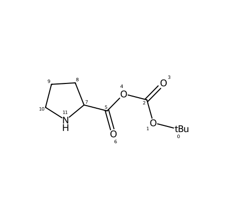 CC(C)(C)OC(=O)OC(=O)C1CCCN1